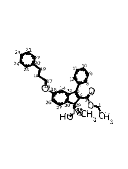 CCOC(=O)C1=C(c2ccccc2)c2cc(OCCCc3ccccc3)ccc2/C1=[N+](/C)O